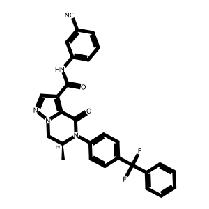 C[C@H]1Cn2ncc(C(=O)Nc3cccc(C#N)c3)c2C(=O)N1c1ccc(C(F)(F)c2ccccc2)cc1